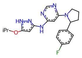 CC(C)Oc1cc(Nc2cc(N3CCCC3c3ccc(F)cc3)ncn2)n[nH]1